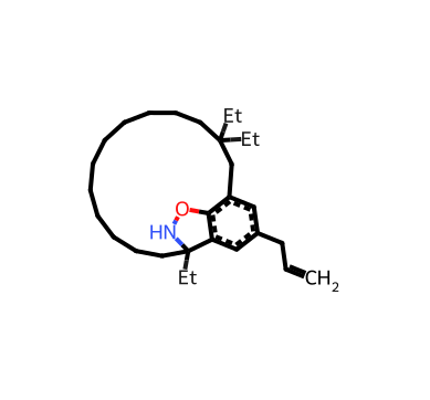 C=CCc1cc2c3c(c1)C(CC)(CCCCCCCCCCCC(CC)(CC)C2)NO3